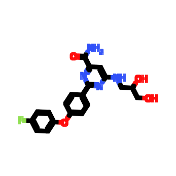 NC(=O)c1cc(NCC(O)CO)nc(-c2ccc(Oc3ccc(F)cc3)cc2)n1